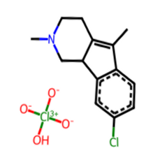 CC1=C2CCN(C)CC2c2cc(Cl)ccc21.[O-][Cl+3]([O-])([O-])O